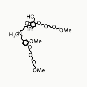 COCCOCCOCCOc1ccc(C(C#N)(CCCN(C)CCc2ccc(OCCOCCOCCOC)c(OC)c2)C(C)C)cc1CO